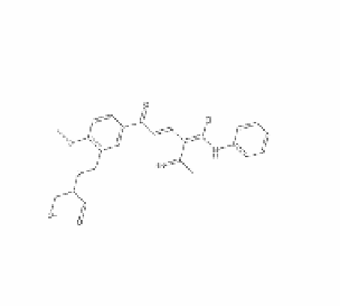 COc1ccc(C(=O)/C=C/C(C(C)=N)=C(\Cl)Nc2ccccc2)cc1CSC(C=O)CO